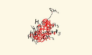 CCCCCCCCCC(=O)O[C@@H]1C[C@H](O[C@@H]2C[C@H](Oc3cc4cc5c(c(O)c4c(O)c3C)C(=O)[C@@H](O[C@H]3C[C@@H](O[C@H]4C[C@@H](O[C@H]6C[C@](C)(O)[C@H](O)C(C)O6)[C@@H](O)C(C)O4)[C@H](O)C(C)O3)[C@H]([C@H](OC)C(=O)[C@@H](O)[C@@H](C)O)C5)OC(C)[C@H]2O)OC(C)[C@H]1O